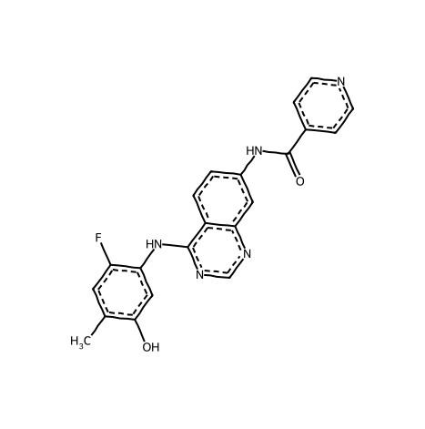 Cc1cc(F)c(Nc2ncnc3cc(NC(=O)c4ccncc4)ccc23)cc1O